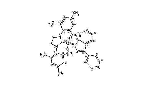 Cc1cc(C)c(N2CCN(c3c(C)cc(C)cc3C)[C]2=[Ru-4]([Cl])([Cl])=[C]2C=C(c3ccccc3)c3ccccc32)c(C)c1